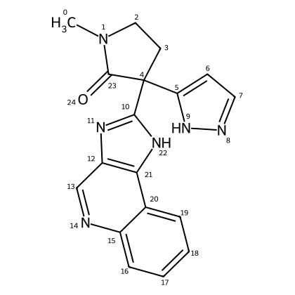 CN1CCC(c2ccn[nH]2)(c2nc3cnc4ccccc4c3[nH]2)C1=O